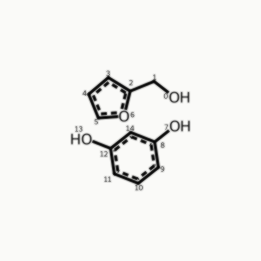 OCc1ccco1.Oc1cccc(O)c1